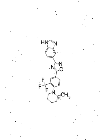 C[C@H]1CCCCN1c1ccc(-c2nc(-c3ccc4[nH]cnc4c3)no2)cc1C(F)(F)F